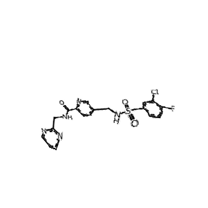 O=C(NCc1ncccn1)c1ccc(CNS(=O)(=O)c2ccc(F)c(Cl)c2)cn1